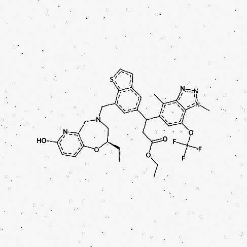 CCOC(=O)CC(c1cc(CN2Cc3nc(O)ccc3O[C@H](CC)C2)c2sccc2c1)c1cc(OC(F)(F)F)c2c(nnn2C)c1C